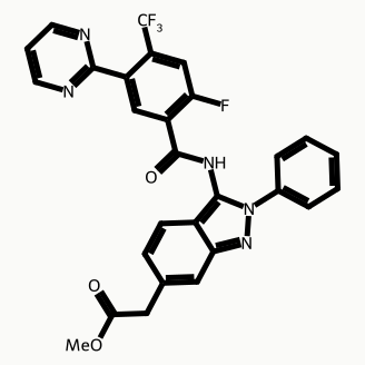 COC(=O)Cc1ccc2c(NC(=O)c3cc(-c4ncccn4)c(C(F)(F)F)cc3F)n(-c3ccccc3)nc2c1